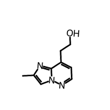 Cc1cn2nccc(CCO)c2n1